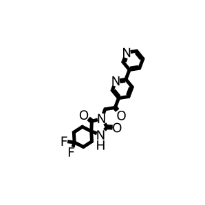 O=C(CN1C(=O)NC2(CCC(F)(F)CC2)C1=O)c1ccc(-c2cccnc2)nc1